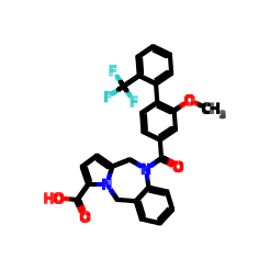 COc1cc(C(=O)N2Cc3ccc(C(=O)O)n3Cc3ccccc32)ccc1-c1ccccc1C(F)(F)F